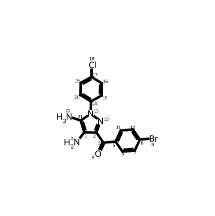 Nc1c(C(=O)c2ccc(Br)cc2)nn(-c2ccc(Cl)cc2)c1N